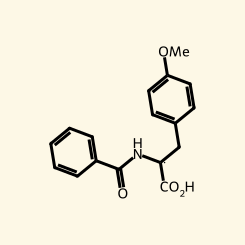 COc1ccc(C[C](NC(=O)c2ccccc2)C(=O)O)cc1